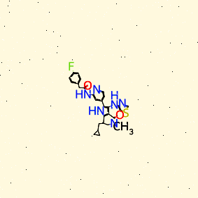 CN1CC(CC2CC2)c2[nH]c(-c3ccnc(NC(=O)Cc4ccc(F)cc4)c3)c(Nc3cscn3)c2C1=O